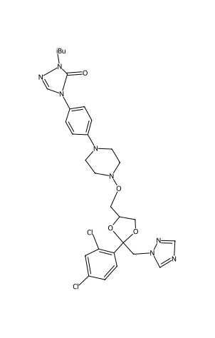 CCC(C)n1ncn(-c2ccc(N3CCN(OCC4COC(Cn5cncn5)(c5ccc(Cl)cc5Cl)O4)CC3)cc2)c1=O